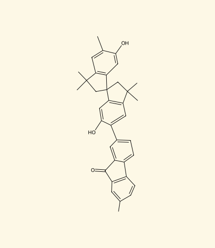 Cc1ccc2c(c1)C(=O)c1cc(-c3cc4c(cc3O)C3(CC(C)(C)c5cc(C)c(O)cc53)CC4(C)C)ccc1-2